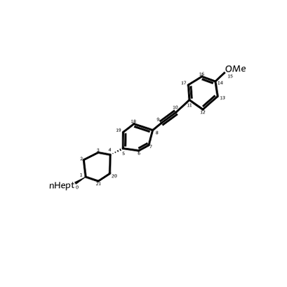 CCCCCCC[C@H]1CC[C@H](c2ccc(C#Cc3ccc(OC)cc3)cc2)CC1